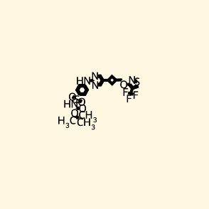 CC(C)(C)OC(=O)NS(=O)(=O)c1ccc(Nc2ncc(C3CC(COc4nscc4C(F)(F)F)C3)cn2)cc1